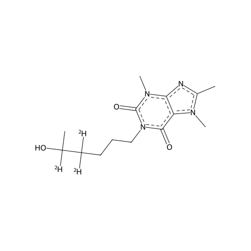 [2H]C(C)(O)C([2H])([2H])CCCn1c(=O)c2c(nc(C)n2C)n(C)c1=O